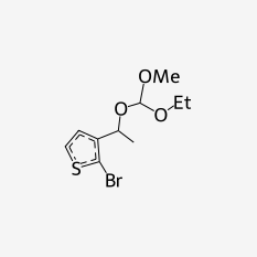 CCOC(OC)OC(C)c1ccsc1Br